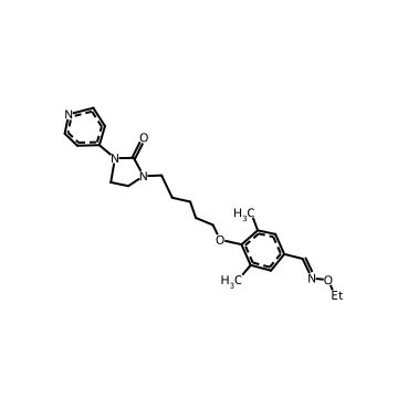 CCO/N=C/c1cc(C)c(OCCCCCN2CCN(c3ccncc3)C2=O)c(C)c1